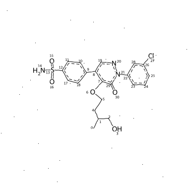 CC(CO)CCOc1c(-c2ccc(S(N)(=O)=O)cc2)cnn(-c2cccc(Cl)c2)c1=O